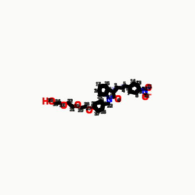 O=C1/C(=C\C=C\c2ccc([N+](=O)[O-])cc2)c2ccccc2N1Cc1ccc(OCCOCCOCCO)cc1